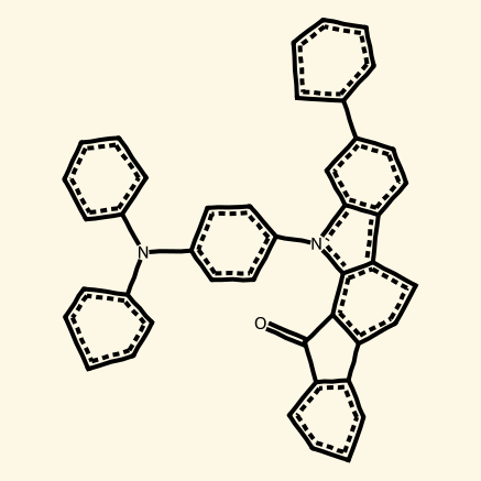 O=C1c2ccccc2-c2ccc3c4ccc(-c5ccccc5)cc4n(-c4ccc(N(c5ccccc5)c5ccccc5)cc4)c3c21